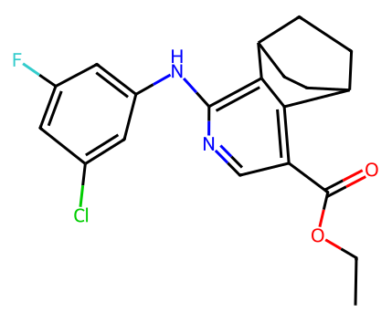 CCOC(=O)c1cnc(Nc2cc(F)cc(Cl)c2)c2c1C1CCC2CC1